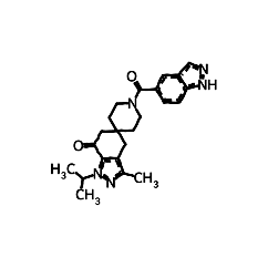 Cc1nn(C(C)C)c2c1CC1(CCN(C(=O)c3ccc4[nH]ncc4c3)CC1)CC2=O